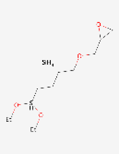 CCO[SiH](CCCCOCC1CO1)OCC.[SiH4]